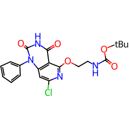 CC(C)(C)OC(=O)NCCOc1nc(Cl)cc2c1c(=O)[nH]c(=O)n2-c1ccccc1